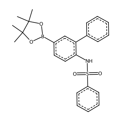 CC1(C)OB(c2ccc(NS(=O)(=O)c3ccccc3)c(-c3ccccc3)c2)OC1(C)C